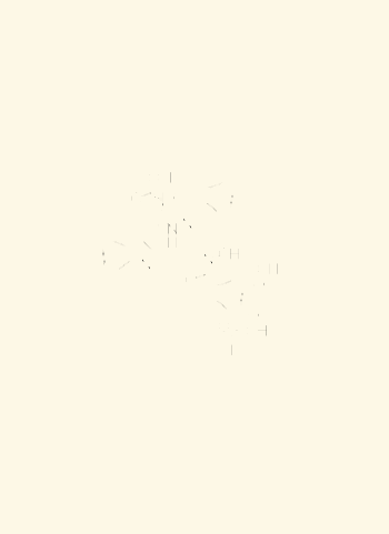 CCN(N[C@H](CC(=O)O)Cc1c[nH]c2ccccc12)C(Cc1ccccc1)CN(C)C(=O)c1cc(OC)c(OC)c(OC)c1